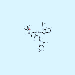 COc1cc(C(=O)N2C[C@H]3CC[C@@H]2[C@@H]3N)cc2nc(-c3cc4cccnc4n3CC3CC3)n(C3CN(C(=O)c4ccc(Cl)nc4)C3)c12